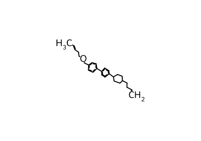 C=CCCC1CCC(c2ccc(-c3ccc(COCCC=CC)cc3)cc2)CC1